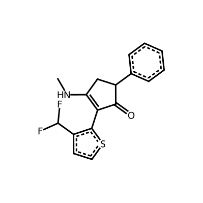 CNC1=C(c2sccc2C(F)F)C(=O)C(c2ccccc2)C1